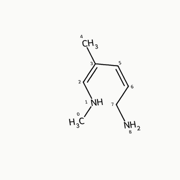 CN/C=C(C)\C=C/CN